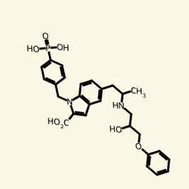 CC(Cc1ccc2c(c1)cc(C(=O)O)n2Cc1ccc(P(=O)(O)O)cc1)NCC(O)COc1ccccc1